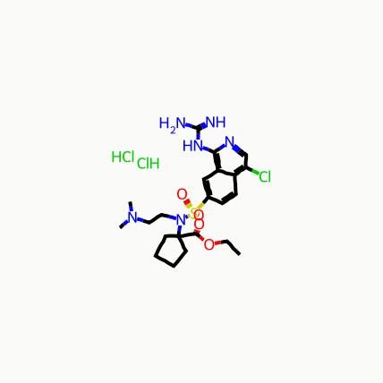 CCOC(=O)C1(N(CCN(C)C)S(=O)(=O)c2ccc3c(Cl)cnc(NC(=N)N)c3c2)CCCC1.Cl.Cl